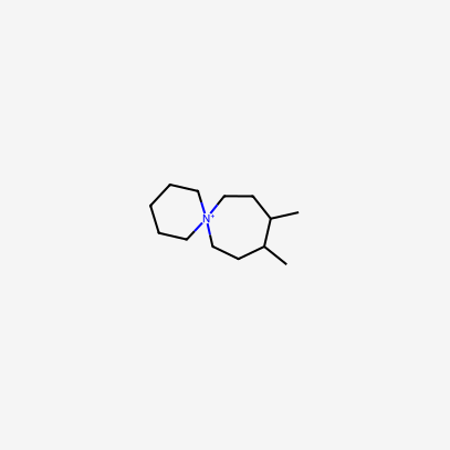 CC1CC[N+]2(CCCCC2)CCC1C